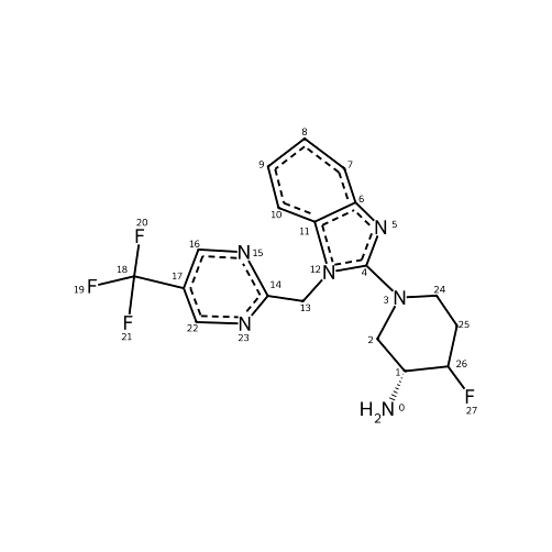 N[C@@H]1CN(c2nc3ccccc3n2Cc2ncc(C(F)(F)F)cn2)CCC1F